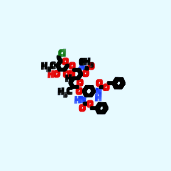 CC1C[C@@H]2OC(O[C@H]3OC(CCl)[C@@H](C)[C@@H](O)C3O)C3C(OC(=O)N3C)C2O[C@@H]1O[C@H]1CC[C@H](NC(=O)OCc2ccccc2)CC1NC(=O)OCc1ccccc1